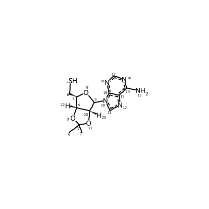 CC1(C)O[C@@H]2[C@@H](CS)OC(n3cnc4c(N)ncnc43)[C@@H]2O1